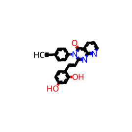 C#Cc1ccc(-n2c(C=Cc3ccc(O)cc3O)nc3ncccc3c2=O)cc1